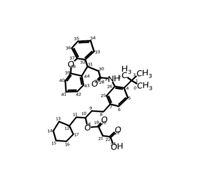 CC(C)(C)c1ccc(CCC(CC2CCCCC2)OC(=O)CC(=O)O)cc1NC(=O)CC1c2ccccc2Oc2ccccc21